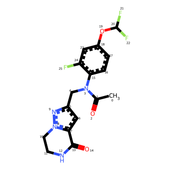 CC(=O)N(Cc1cc2n(n1)CCNC2=O)c1ccc(OC(F)F)cc1F